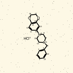 Cl.c1ccc(CN2CCN(c3ccc4c(c3)OCCO4)CC2)cc1